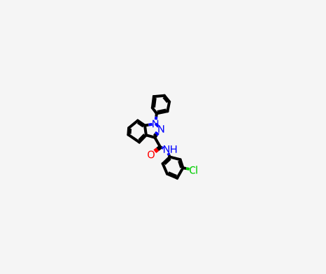 O=C(Nc1cccc(Cl)c1)c1nn(-c2ccccc2)c2ccccc12